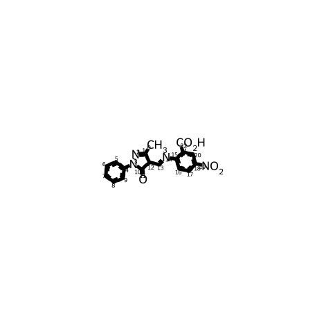 CC1=NN(c2ccccc2)C(=O)C1/C=N/c1ccc([N+](=O)[O-])cc1C(=O)O